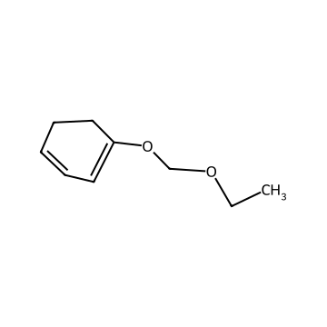 CCOCOC1=CC=CCC1